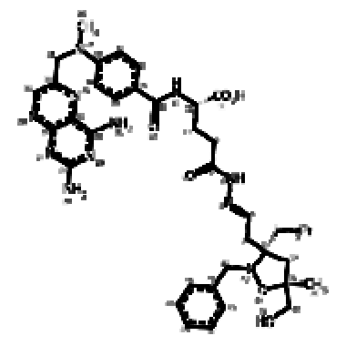 CC(C)C[C@]1(C/C=N/NC(=O)CC[C@H](NC(=O)c2ccc(N(C)Cc3cnc4nc(N)nc(N)c4n3)cc2)C(=O)O)C[C@](C)(CO)ON1Cc1ccccc1